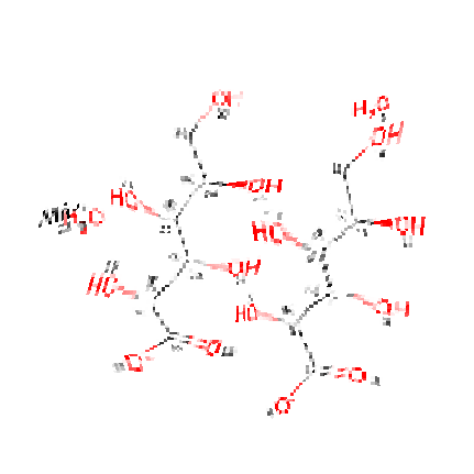 O.O.O=C([O-])[C@H](O)[C@@H](O)[C@H](O)[C@H](O)CO.O=C([O-])[C@H](O)[C@@H](O)[C@H](O)[C@H](O)CO.[Mn+2]